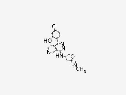 CN1CC2(CC(Nc3nnc(-c4ccc(Cl)cc4O)c4ccncc34)CO2)C1